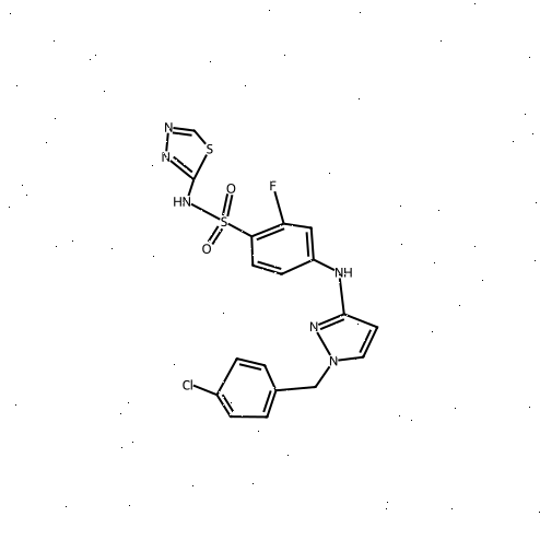 O=S(=O)(Nc1nncs1)c1ccc(Nc2ccn(Cc3ccc(Cl)cc3)n2)cc1F